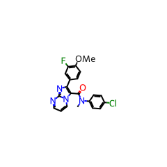 COc1ccc(-c2nc3ncccn3c2C(=O)N(C)c2ccc(Cl)cc2)cc1F